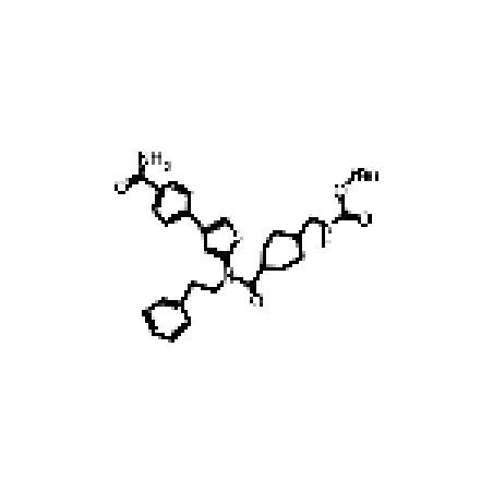 CC(C)(C)OC(=O)NCC1CCC(C(=O)N(CCc2ccccc2)c2cc(-c3ccc(C(N)=O)cc3)cs2)CC1